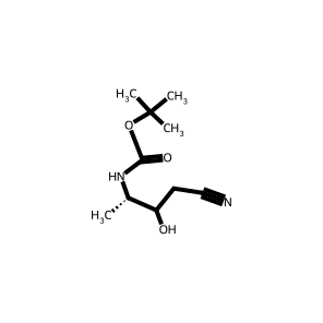 C[C@H](NC(=O)OC(C)(C)C)C(O)CC#N